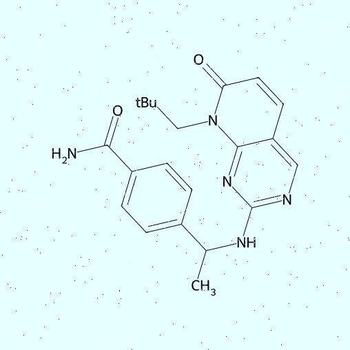 CC(Nc1ncc2ccc(=O)n(CC(C)(C)C)c2n1)c1ccc(C(N)=O)cc1